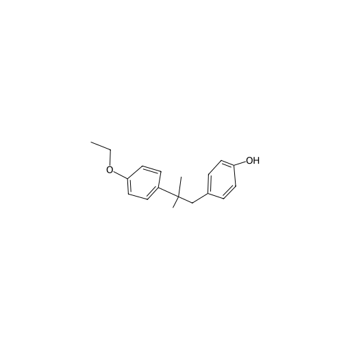 CCOc1ccc(C(C)(C)Cc2ccc(O)cc2)cc1